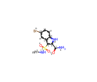 CCCNS(=O)(=O)c1c(C(N)=O)[nH]c2ccc(Br)cc12